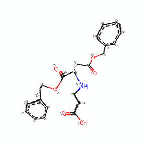 O=C(O)CCN[C@@H](CC(=O)OCc1ccccc1)C(=O)OCc1ccccc1